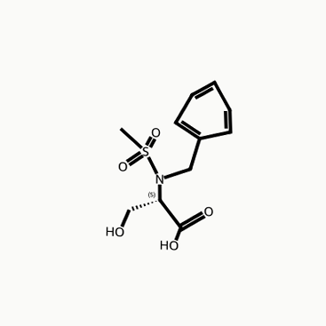 CS(=O)(=O)N(Cc1ccccc1)[C@@H](CO)C(=O)O